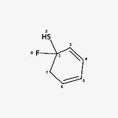 FC1(S)C=CC=CC1